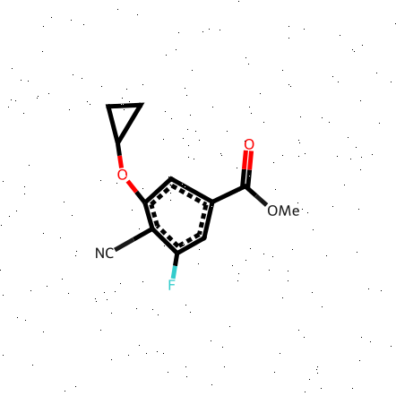 COC(=O)c1cc(F)c(C#N)c(OC2CC2)c1